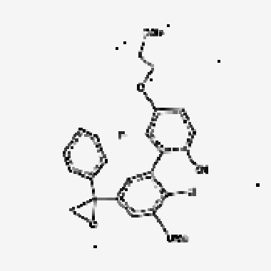 COCCOc1ccc(C#N)c(-c2cc(C3(c4ccccc4)CO3)cc(OC)c2Cl)c1F